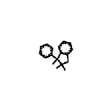 CC1(C)Cc2ccccc2C1(C)c1ccccc1